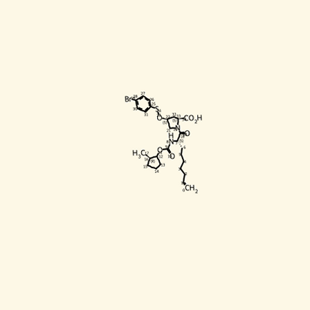 C=CCCCCC[C@H](NC(=O)OC1CCC[C@H]1C)C(=O)N1C[C@@H](OSc2ccc(Br)cc2)C[C@H]1C(=O)O